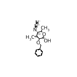 CC1O[C@H](O)C(OCc2ccccc2)[C@@H](C)[C@@H]1N=[N+]=[N-]